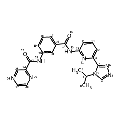 CC(C)n1cnnc1-c1cccc(NC(=O)c2cccc(NC(=O)c3cnccn3)c2)n1